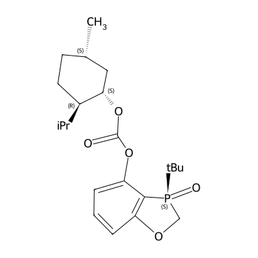 CC(C)[C@H]1CC[C@H](C)C[C@@H]1OC(=O)Oc1cccc2c1[P@@](=O)(C(C)(C)C)CO2